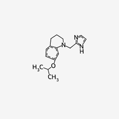 CC(C)Oc1ccc2c(c1)N(Cc1ncc[nH]1)CCC2